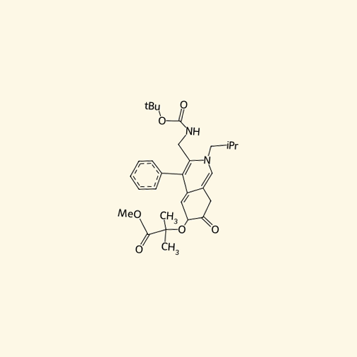 COC(=O)C(C)(C)OC1C=C2C(=CN(CC(C)C)C(CNC(=O)OC(C)(C)C)=C2c2ccccc2)CC1=O